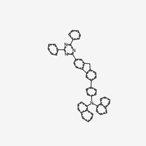 c1ccc(-c2nc(-c3ccccc3)nc(-c3ccc4c(c3)Cc3ccc(-c5ccc(N(c6cccc7ccccc67)c6cccc7ccccc67)cc5)cc3-4)n2)cc1